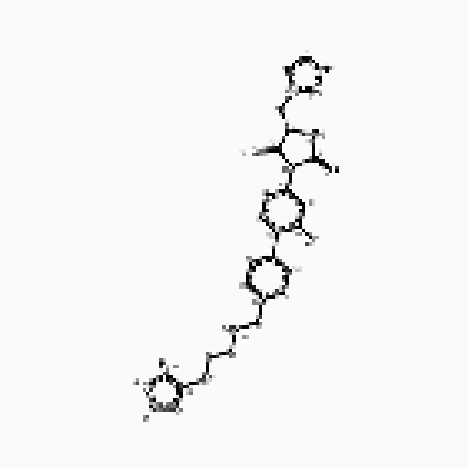 O=C1N[C@H](Cn2ccnn2)C(=O)C1c1ccc(-c2ccc(CNCCSc3cnn[nH]3)cc2)c(F)c1